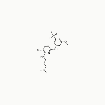 COc1cc(Nc2ncc(Br)c(NCCCN(C)C)n2)cc(C(F)(F)F)c1